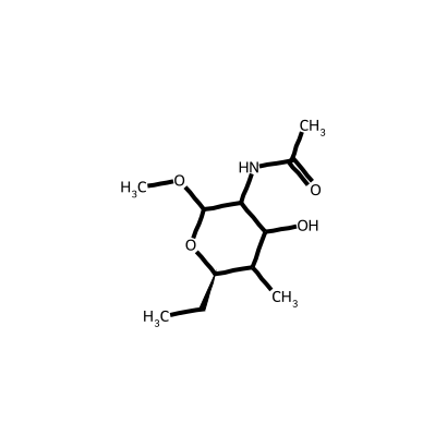 CC[C@H]1OC(OC)C(NC(C)=O)C(O)C1C